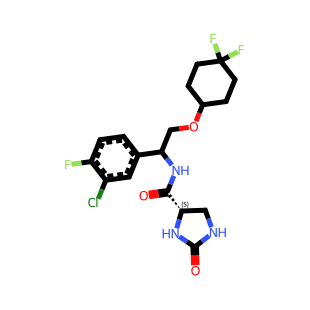 O=C1NC[C@@H](C(=O)NC(COC2CCC(F)(F)CC2)c2ccc(F)c(Cl)c2)N1